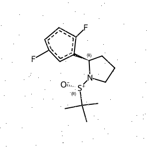 CC(C)(C)[S@+]([O-])N1CCC[C@@H]1c1cc(F)ccc1F